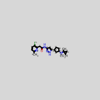 Cc1ccc(F)c(CC(=O)Nc2cc([C@H]3CC[C@@H](N(C(=O)O)C4(C)CC4)C3)[nH]n2)n1